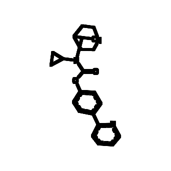 O=C(Oc1ccc(-c2ccccn2)cc1)N(C1CC1)C1CN2CCC1CC2